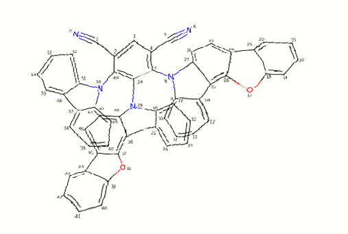 N#Cc1cc(C#N)c(-n2c3ccccc3c3c4oc5ccccc5c4ccc32)c(-n2c3ccccc3c3c4oc5ccccc5c4ccc32)c1-n1c2ccccc2c2ccccc21